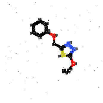 COc1nnc(COc2ccccc2)s1